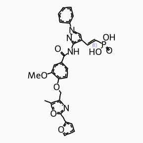 COc1cc(C(=O)Nc2nn(-c3ccccc3)cc2/C=C/P(=O)(O)O)ccc1OCc1nc(-c2ccco2)oc1C